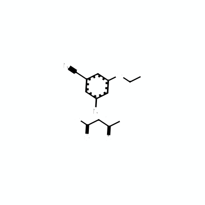 CC(=O)CC(=O)O.CCOc1cc(N)cc(C#N)c1